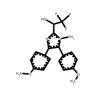 COc1ccc(-c2nc(C(O)C(F)(F)F)n(C)c2-c2ccc(OC)cc2)cc1